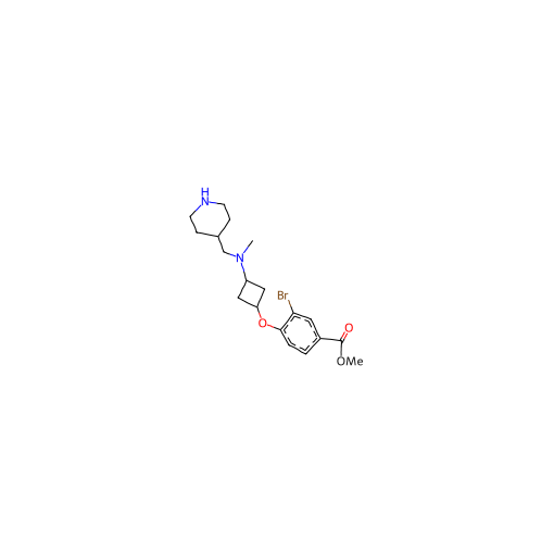 COC(=O)c1ccc(OC2CC(N(C)CC3CCNCC3)C2)c(Br)c1